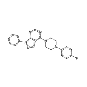 Fc1ccc(N2CCN(c3ncnc4c3cnn4-c3ccccc3)CC2)cc1